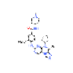 CC[C@@H]1c2nncn2-c2cnc(Nc3ccc(C(=O)NC4CCN(C)CC4)cc3OC)nc2N1C1CCCC1